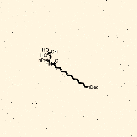 CCCCCCCCCCCCCCCCCCCCCC(=O)NN(CCC)CC(O)(O)O